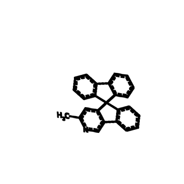 Cc1cc2c(cn1)-c1ccccc1C21c2ccccc2-c2ccccc21